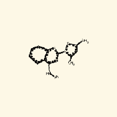 CCCNc1nc(-n2nc(C)cc2C)nc2ccccc12